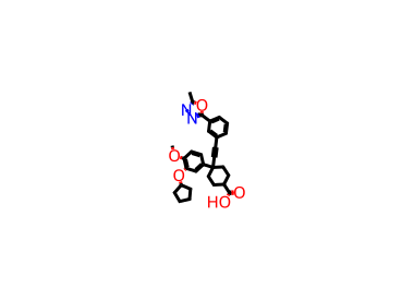 COc1ccc(C2(C#Cc3cccc(-c4nnc(C)o4)c3)CCC(C(=O)O)CC2)cc1OC1CCCC1